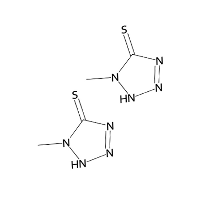 Cn1[nH]nnc1=S.Cn1[nH]nnc1=S